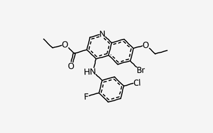 CCOC(=O)c1cnc2cc(OCC)c(Br)cc2c1Nc1cc(Cl)ccc1F